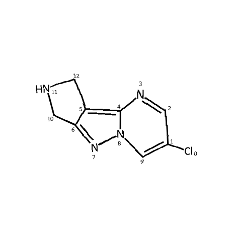 Clc1cnc2c3c(nn2c1)CNC3